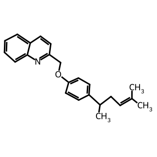 CC(C)=CCC(C)c1ccc(OCc2ccc3ccccc3n2)cc1